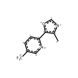 Cc1ncoc1-c1ccc(C(F)(F)F)cn1